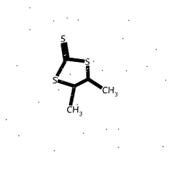 CC1SC(=S)SC1C